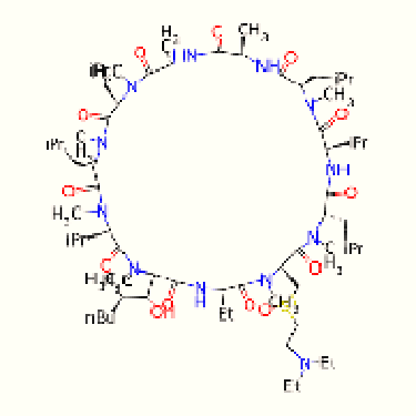 CCCC[C@@H](C)[C@@H](O)[C@@H]1C(=O)N[C@H](CC)C(=O)N(C)[C@H](C[S+]([O-])CCN(CC)CC)C(=O)N(C)[C@@H](CC(C)C)C(=O)N[C@H](C(C)C)C(=O)N(C)[C@H](CC(C)C)C(=O)N[C@H](C)C(=O)N[C@@H](C)C(=O)N(C)[C@H](CC(C)C)C(=O)N(C)[C@H](CC(C)C)C(=O)N(C)[C@H](C(C)C)C(=O)N1C